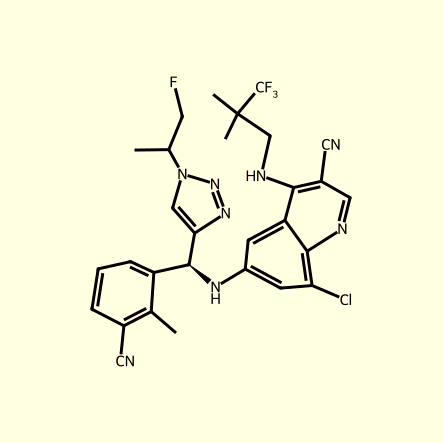 Cc1c(C#N)cccc1[C@H](Nc1cc(Cl)c2ncc(C#N)c(NCC(C)(C)C(F)(F)F)c2c1)c1cn(C(C)CF)nn1